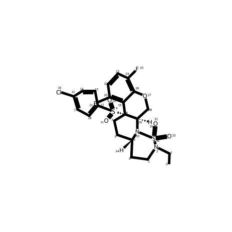 CCN1CC[C@@H]2CC[C@@]3(S(=O)(=O)c4ccc(Cl)cc4)c4c(F)ccc(F)c4OC[C@H]3N2S1(=O)=O